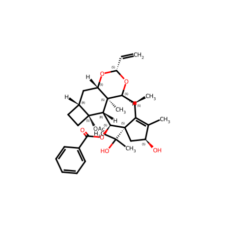 C=C[C@H]1O[C@H]2C[C@H]3CC[C@@]3(OC(C)=O)[C@H]3[C@H](OC(=O)c4ccccc4)[C@]4(C(C)(C)O)C[C@H](O)C(C)=C4[C@H](C)[C@H](O1)[C@]23C